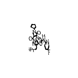 CC(C)Cc1cc2n(CC(=O)Nc3ccc(F)cn3)c3c(c(=O)n2n1)CN(C1CCCC1)C3=O